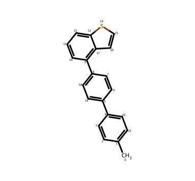 Cc1ccc(-c2ccc(-c3cccc4sccc34)cc2)cc1